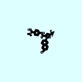 CN(C)C(=N)c1ccc(NC(=O)c2cc(C(F)(F)F)nn2-c2ccc3cc(Cl)ccc3c2)cc1